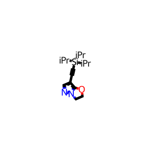 CC(C)[Si](C#Cc1cnn2c1OCC2)(C(C)C)C(C)C